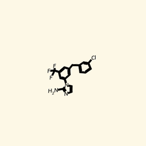 Nc1nccn1-c1cc(Cc2cccc(Cl)c2)cc(C(F)(F)F)c1